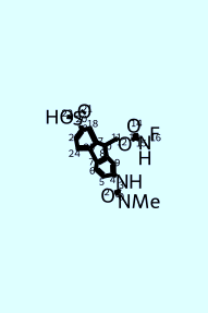 CNC(=O)Nc1ccc2c(c1)C(COC(=O)NF)c1cc(S(=O)O)ccc1-2